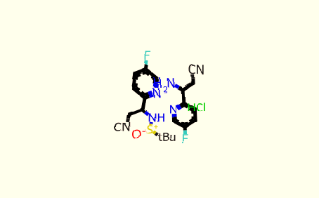 CC(C)(C)[S+]([O-])NC(CC#N)c1ccc(F)cn1.Cl.N#CCC(N)c1ccc(F)cn1